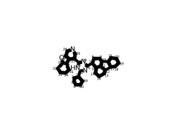 c1ccc(C2N=C(c3ccc4c5c(cccc35)-c3ccccc3-4)N=C(c3cncc4oc5ccccc5c34)N2)cc1